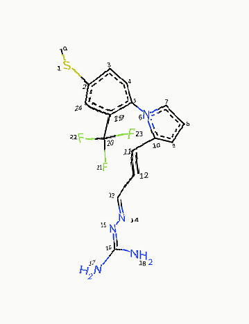 CSc1ccc(-n2cccc2/C=C/C=N/N=C(N)N)c(C(F)(F)F)c1